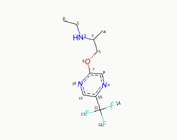 CCNC(C)COc1cnc(C(F)(F)F)cn1